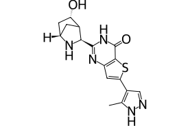 Cc1[nH]ncc1-c1cc2nc([C@H]3N[C@H]4CC3[C@@H](O)C4)[nH]c(=O)c2s1